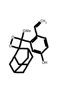 C=Cc1ccc(O)cc1C1(OC)OOC12C1CC3CC(C1)CC2C3